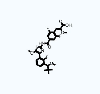 COC(=Cc1c(F)cc(C(=O)Nc2nc(-c3cccc(C(OC)C(C)(C)C)c3F)c(OC)s2)cc1F)C(=O)O